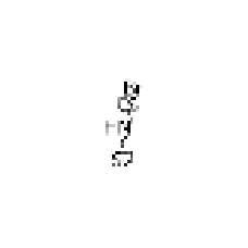 Brc1ccc(CNCCc2cccs2)s1